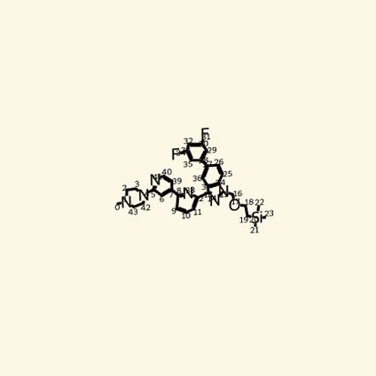 CN1CCN(c2cc(-c3cccc(-c4nn(COCC[Si](C)(C)C)c5ccc(-c6cc(F)cc(F)c6)cc45)n3)ccn2)CC1